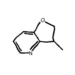 CC1COc2cccnc21